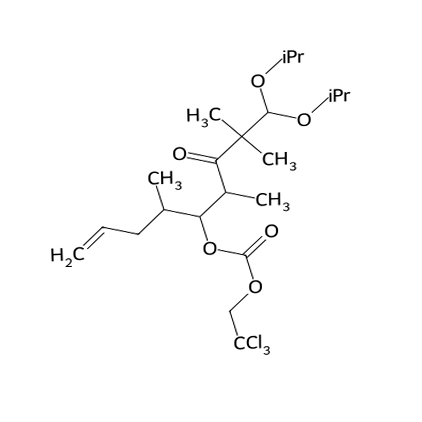 C=CCC(C)C(OC(=O)OCC(Cl)(Cl)Cl)C(C)C(=O)C(C)(C)C(OC(C)C)OC(C)C